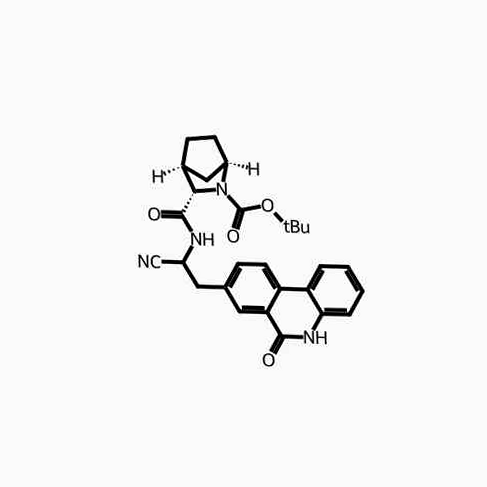 CC(C)(C)OC(=O)N1[C@@H]2CC[C@@H](C2)[C@H]1C(=O)NC(C#N)Cc1ccc2c(c1)c(=O)[nH]c1ccccc12